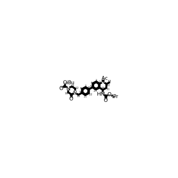 CC(=O)N1c2ccc(-c3ccc(CN4CCN(C(=O)OCC(C)C)CC4=O)cc3)cc2C(NC(=O)OC(C)C)CC1C